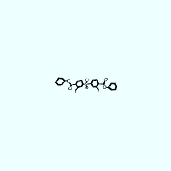 O=C(Oc1ccccc1)c1ccc(S(=O)(=O)c2ccc(C(=O)Oc3ccccc3)c(I)c2)cc1I